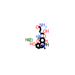 CO[C@@]12CC[C@H](N[C@@H](CCC(N)=O)C(=O)O)[C@@H]3Oc4c(O)ccc5c4[C@@]31CCN(C)[C@@H]2C5.Cl.Cl